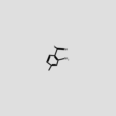 Cc1ccc(C(=N)I)c(N)c1